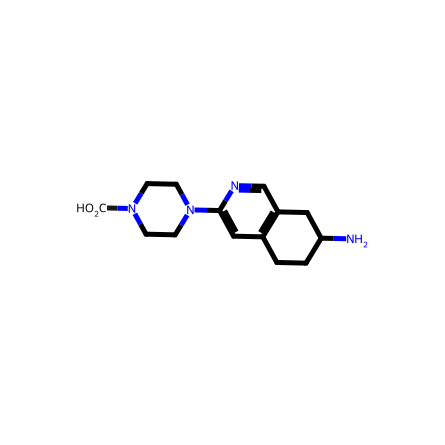 NC1CCc2cc(N3CCN(C(=O)O)CC3)ncc2C1